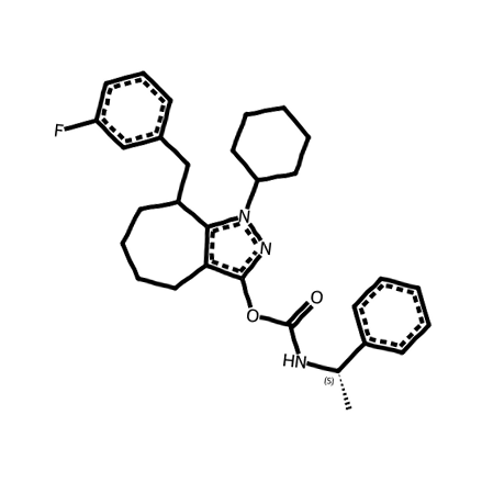 C[C@H](NC(=O)Oc1nn(C2CCCCC2)c2c1CCCCC2Cc1cccc(F)c1)c1ccccc1